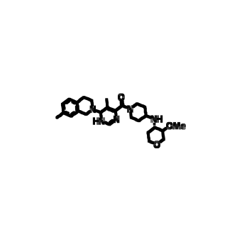 COC1COCC[C@@H]1NC1CCN(C(=O)C2=C(C)C(N3CCc4ccc(C)cc4C3)NC=N2)CC1